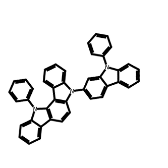 c1ccc(-n2c3ccccc3c3ccc(-n4c5ccccc5c5c4ccc4c6ccccc6n(-c6ccccc6)c45)cc32)cc1